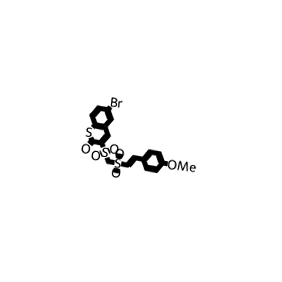 COc1ccc(C=CS(=O)(=O)CS(=O)(=O)c2cc3cc(Br)ccc3sc2=O)cc1